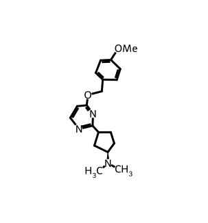 COc1ccc(COc2ccnc(C3CC[C@@H](N(C)C)C3)n2)cc1